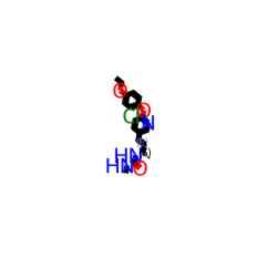 CCOc1ccc(Oc2ccc(/C=C/[C@H](C)NC(=O)NC)cn2)c(Cl)c1